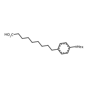 CCCCCCc1ccc(CCCCCCCCC(=O)O)cc1